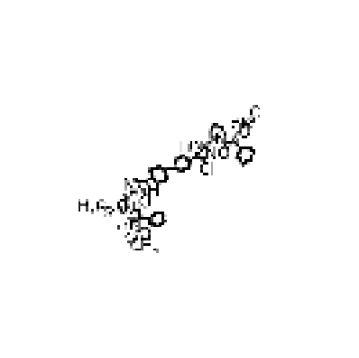 COC(=O)N[C@H](C(=O)N1C[C@@H](SC)C[C@H]1c1ncc(-c2ccc(-c3ccc(-c4[nH]c([C@@H]5CCCN5C(=O)[C@H](CONC=O)c5ccccc5)nc4Cl)cc3)cc2)[nH]1)c1ccccc1